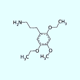 CCOc1cc(OC)c(OCC)cc1CCCN